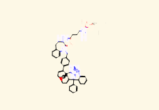 CC(C)(C)OC(=O)NCCCC(=O)NC1CCc2ccccc2N(Cc2ccc(-c3ccccc3-c3nnnn3C(c3ccccc3)(c3ccccc3)c3ccccc3)cc2)C1=O